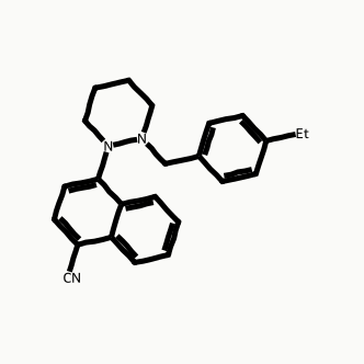 CCc1ccc(CN2CCCCN2c2ccc(C#N)c3ccccc23)cc1